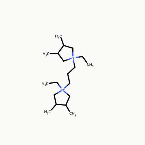 CC[N+]1(CCC[N+]2(CC)CC(C)C(C)C2)CC(C)C(C)C1